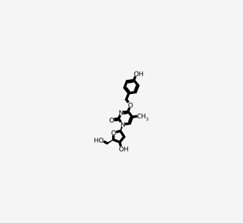 Cc1cn([C@H]2CC(O)[C@@H](CO)O2)c(=O)nc1OCc1ccc(O)cc1